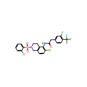 O=C(Cc1ccc(C(F)(F)F)c(F)c1)Nc1c(Cl)ccc2c1CCN(S(=O)(=O)c1ccccc1Cl)C2